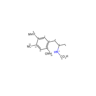 COc1cc(CC(C)NC(=O)O)c(OC)cc1C#N